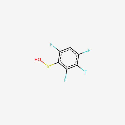 OSc1c(F)cc(F)c(F)c1F